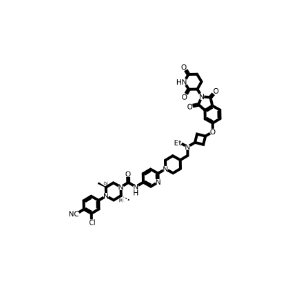 CCN(CC1CCN(c2ccc(NC(=O)N3C[C@H](C)N(c4ccc(C#N)c(Cl)c4)C[C@H]3C)cn2)CC1)C1CC(Oc2ccc3c(c2)C(=O)N(C2CCC(=O)NC2=O)C3=O)C1